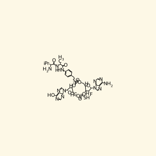 CC(C)[C@H](N)C(=O)N[C@@H](C)C(=O)Nc1ccc(CSP2(=O)OC[C@H]3O[C@@H](n4cnc5c(N)ncnc54)[C@H](F)[C@@H]3OP(=O)(S)OC[C@H]3O[C@@H](n4cnc5c(O)ncnc54)C[C@@H]3O2)cc1